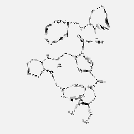 COC(CNC(=O)c1cc(C(=O)N[C@H]2CCCC[C@@H]2OCc2ccccc2)n(CC(=O)N[C@H]2CCCC[C@@H]2OCc2ccccc2)n1)OC